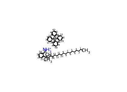 CCCCCCCCCCCCCCCCCC(C)(C)c1ccccc1C[NH3+].c1ccc([B-](c2ccccc2)(c2ccccc2)c2ccccc2)cc1